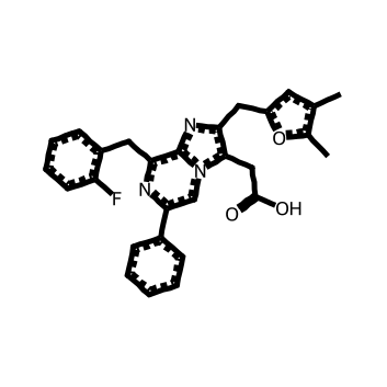 Cc1cc(Cc2nc3c(Cc4ccccc4F)nc(-c4ccccc4)cn3c2CC(=O)O)oc1C